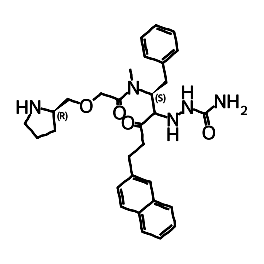 CN(C(=O)COC[C@H]1CCCN1)[C@@H](Cc1ccccc1)C(NNC(N)=O)C(=O)CCc1ccc2ccccc2c1